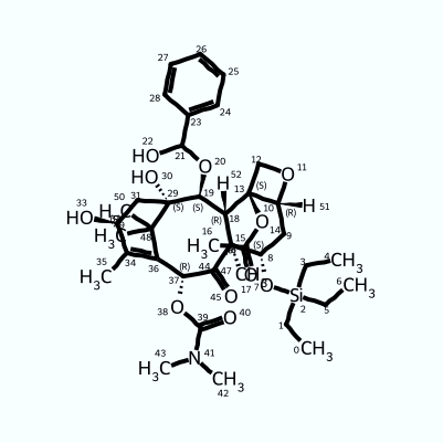 CC[Si](CC)(CC)O[C@H]1C[C@H]2OC[C@@]2(OC(C)=O)[C@H]2[C@H](OC(O)c3ccccc3)[C@]3(O)C[C@H](O)C(C)=C([C@@H](OC(=O)N(C)C)C(=O)[C@]12C)C3(C)C